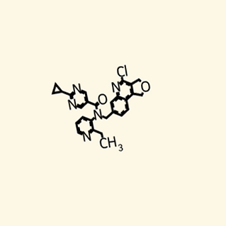 CCc1ncccc1N(Cc1ccc2c3c(c(Cl)nc2c1)COC3)C(=O)c1cnc(C2CC2)nc1